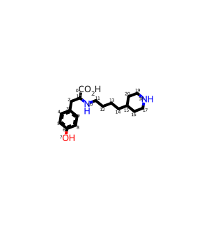 O=C(O)C(Cc1ccc(O)cc1)NCCCCC1CCNCC1